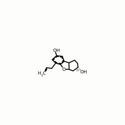 C=CCc1cc(O)cc2c1OC1C[C@@H](O)CCC21